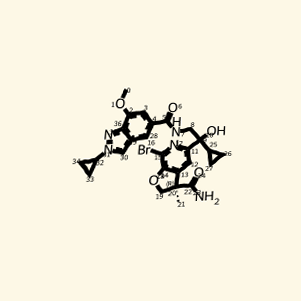 COc1cc(C(=O)NCC(O)(c2cc3c(c(Br)n2)OC[C@]3(C)C(N)=O)C2CC2)cc2cn(C3CC3)nc12